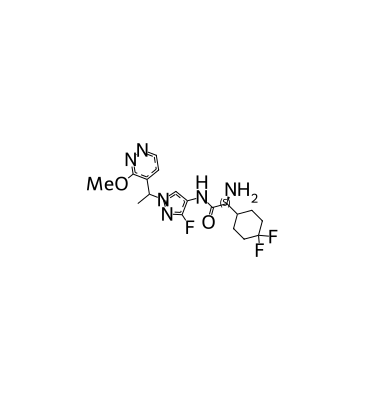 COc1nnccc1C(C)n1cc(NC(=O)[C@@H](N)C2CCC(F)(F)CC2)c(F)n1